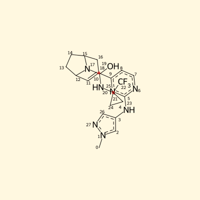 Cn1cc(Nc2nccc(C3=CC4CCC(C3)N4C(O)NC3(C(F)(F)F)CC3)n2)cn1